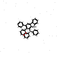 c1ccc(-c2cc3c([nH]c4ccccc43)c(N(c3ccccc3)c3ccccc3)c2-c2ccccc2)cc1